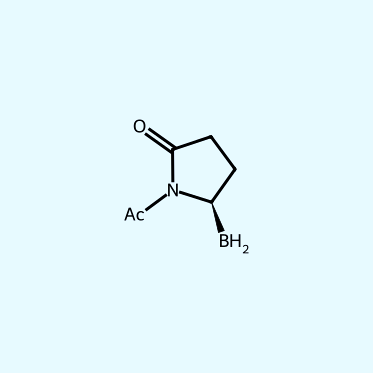 B[C@@H]1CCC(=O)N1C(C)=O